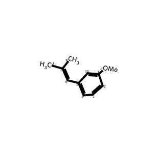 COc1cccc(C=C(C)C)c1